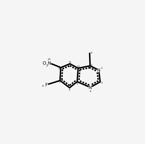 Cc1ncnc2cc(F)c([N+](=O)[O-])cc12